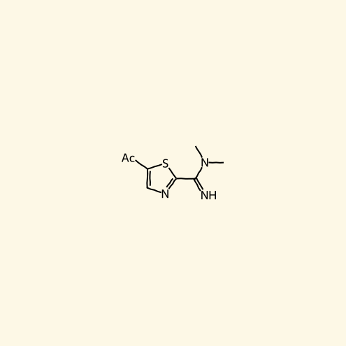 CC(=O)c1cnc(C(=N)N(C)C)s1